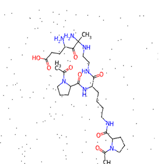 CC(=O)N1CCCC1C(=O)NCCCCC(NC(=O)C1CCCN1C(C)=O)C(=O)NCCNC(C)(N)C(=O)C(N)CCC(=O)O